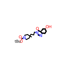 CC1(CCCn2cnc3ccc(O)cc3c2=O)CCN(C(=O)OC(C)(C)C)CC1